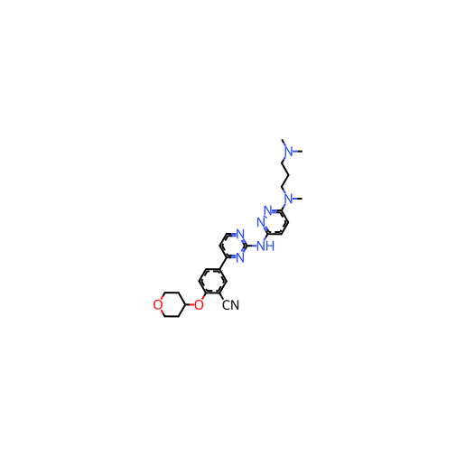 CN(C)CCCN(C)c1ccc(Nc2nccc(-c3ccc(OC4CCOCC4)c(C#N)c3)n2)nn1